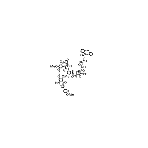 COc1ccc(C2=CN3C(=O)c4cc(OC)c(OCCCOc5cc6c(cc5OC)C(=O)N5CC7(CC7)C[C@H]5C(O)N6C(=O)OCc5ccc(NC(=O)[C@H](C)NC(=O)[C@@H](NC(=O)CNC(=O)CNC(=O)CCC(=O)N6Cc7ccccc7C#Cc7ccccc76)C(C)C)cc5)cc4NCC3C2)cn1